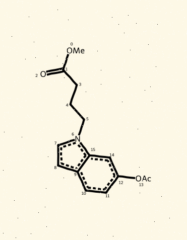 COC(=O)CCCn1ccc2ccc(OC(C)=O)cc21